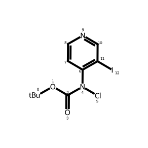 CC(C)(C)OC(=O)N(Cl)c1ccncc1I